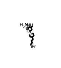 CC(C)CCCCC1CCN(C(=O)CC(C)C(=O)NN)CC1